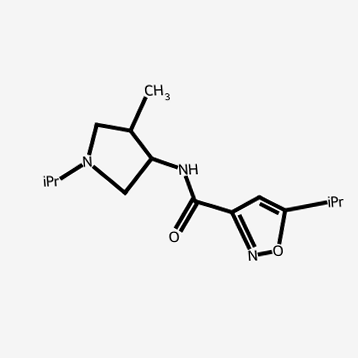 CC(C)c1cc(C(=O)NC2CN(C(C)C)CC2C)no1